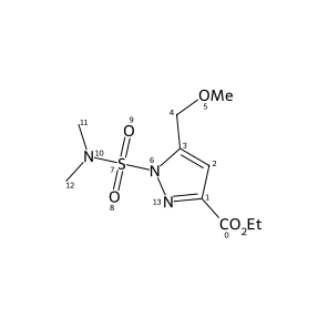 CCOC(=O)c1cc(COC)n(S(=O)(=O)N(C)C)n1